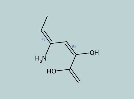 C=C(O)/C(O)=C\C(N)=C/C